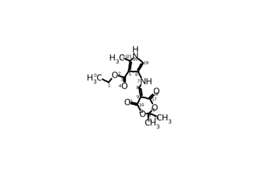 CCOC(=O)c1c(NC=C2C(=O)OC(C)(C)OC2=O)c[nH]c1C